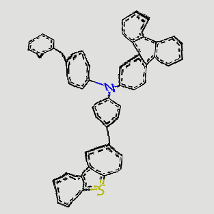 c1ccc(-c2ccc(N(c3ccc(-c4ccc5sc6ccccc6c5c4)cc3)c3ccc4c5ccccc5c5ccccc5c4c3)cc2)cc1